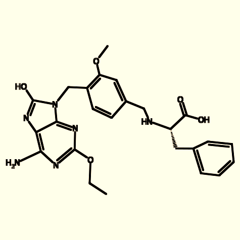 CCOc1nc(N)c2nc(O)n(Cc3ccc(CN[C@@H](Cc4ccccc4)C(=O)O)cc3OC)c2n1